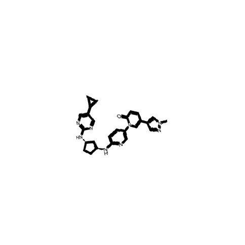 Cn1cc(-c2ccc(=O)n(-c3ccc(N[C@H]4CC[C@H](Nc5ncc(C6CC6)cn5)C4)nc3)c2)cn1